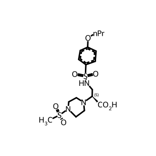 CCCOc1ccc(S(=O)(=O)NC[C@@H](C(=O)O)N2CCN(S(C)(=O)=O)CC2)cc1